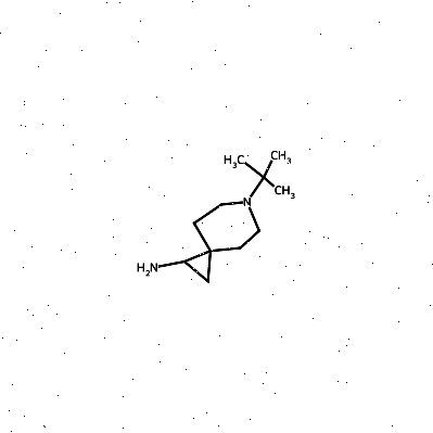 CC(C)(C)N1CCC2(CC1)CC2N